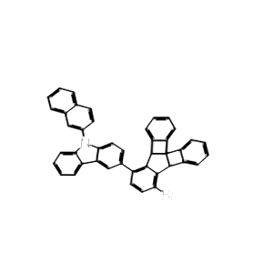 Brc1ccc(-c2ccc3c(c2)c2ccccc2n3-c2ccc3ccccc3c2)c2c1C1c3ccccc3C13c1ccccc1C23